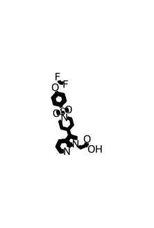 O=C(O)Cn1cc(C2CCN(S(=O)(=O)c3ccc(OC(F)F)cc3)CC2)c2cccnc21